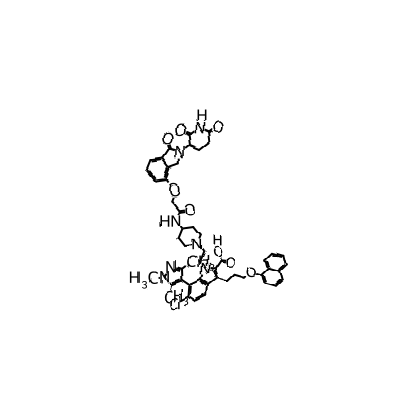 Cc1nn(C)c(C)c1-c1c(Cl)ccc2c(CCCOc3cccc4ccccc34)c(C(=O)O)n(CCN3CCC(NC(=O)COc4cccc5c4CN(C4CCC(=O)NC4=O)C5=O)CC3)c12